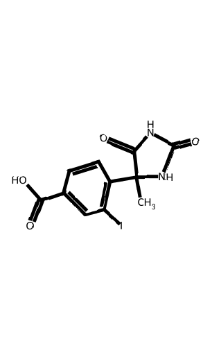 CC1(c2ccc(C(=O)O)cc2I)NC(=O)NC1=O